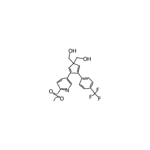 CS(=O)(=O)c1ccc(C2=CC(CO)(CO)C=C2c2ccc(C(F)(F)F)cc2)cn1